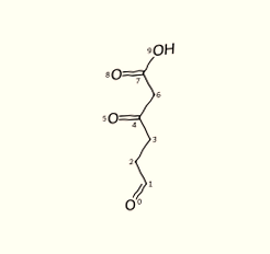 O=CCCC(=O)CC(=O)O